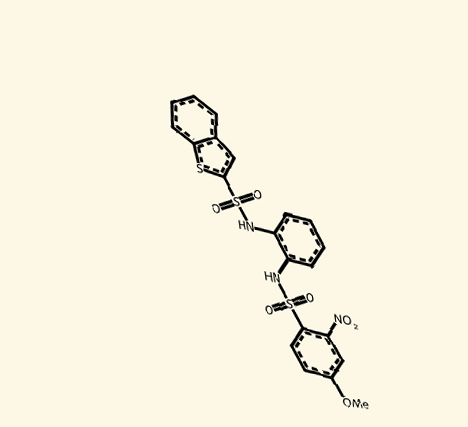 COc1ccc(S(=O)(=O)Nc2ccccc2NS(=O)(=O)c2cc3ccccc3s2)c([N+](=O)[O-])c1